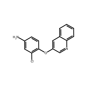 Nc1ccc(Oc2cnc3ccccc3c2)c(Cl)c1